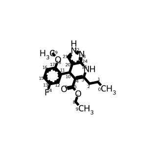 CCCC1=C(C(=O)OCC)C(c2cc(F)ccc2OC)c2c[nH]nc2N1